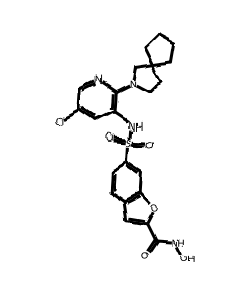 O=C(NO)c1cc2ccc(S(=O)(=O)Nc3cc(Cl)cnc3N3CCC4(CCCC4)C3)cc2o1